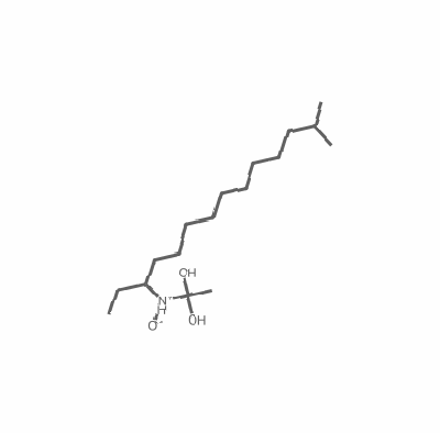 CCC(CCCCCCCCCC(C)C)[NH+]([O-])C(C)(O)O